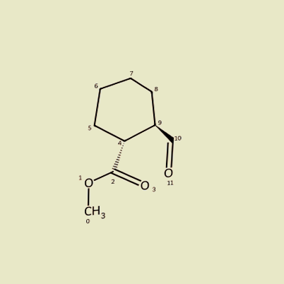 COC(=O)[C@@H]1CCCC[C@H]1C=O